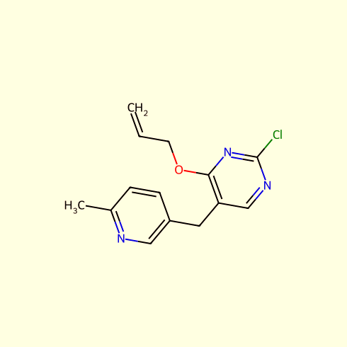 C=CCOc1nc(Cl)ncc1Cc1ccc(C)nc1